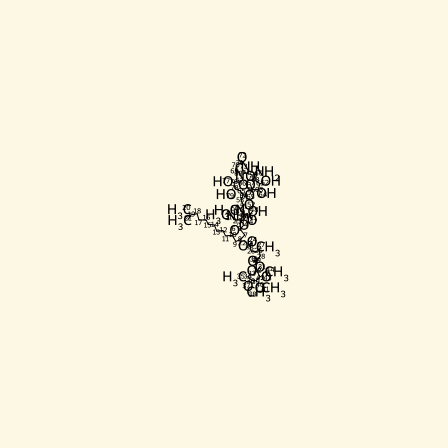 CNC[C@H](OC(=O)CC(CCCCCCCCCCC(C)C)OC(=O)CC(C)CC(=O)OC1OC(C)C(OC)C(OC)C1OC)[C@@H](C(=O)O)N(C)C(=O)C[C@H](OC1OC(CN)C(O)C1O)C1OC(n2ccc(=O)[nH]c2=O)C(O)C1O